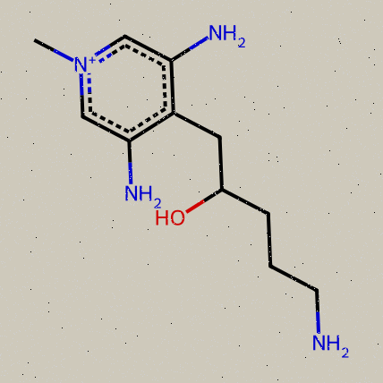 C[n+]1cc(N)c(CC(O)CCCN)c(N)c1